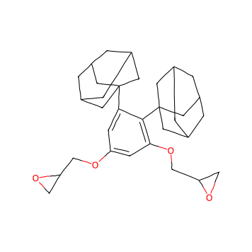 c1c(OCC2CO2)cc(C23CC4CC(CC(C4)C2)C3)c(C23CC4CC(CC(C4)C2)C3)c1OCC1CO1